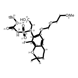 COCCOCOc1cc2c(c(F)c1N(CC(=O)O)S(=O)(=O)NC(=O)OC(C)(C)C)OC(C)(C)CC2